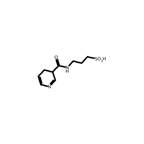 O=C(NCCCS(=O)(=O)O)C1C=NC=CC1